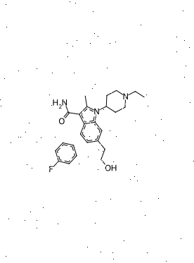 CCN1CCC(n2c(C)c(C(N)=O)c3ccc(CCO)cc32)CC1.Fc1ccccc1